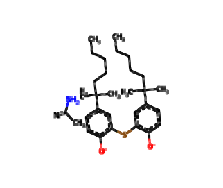 CCCCCC(C)(C)c1ccc([O-])c(Sc2cc(C(C)(C)CCCCC)ccc2[O-])c1.CCN.[Ni+2]